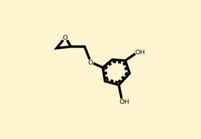 Oc1cc(O)cc(OCC2CO2)c1